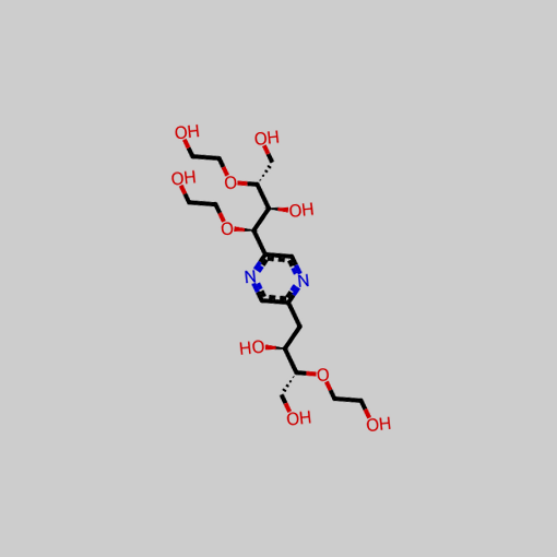 OCCO[C@H](c1cnc(C[C@H](O)[C@@H](CO)OCCO)cn1)[C@H](O)[C@@H](CO)OCCO